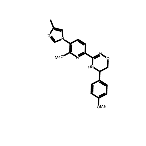 COc1ccc(C2CON=C(c3ccc(-n4cnc(C)c4)c(OC)n3)N2)cc1